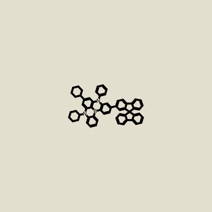 c1ccc(N2c3cc(-c4ccc5c(c4)C4(c6ccccc6-c6ccccc64)c4ccccc4-5)ccc3B3c4ccccc4N(C4CCCCC4)c4cc(C5CCCCC5)cc2c43)cc1